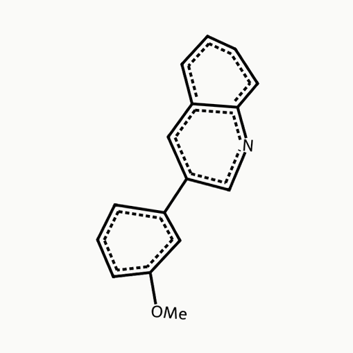 COc1cccc(-c2cnc3ccccc3c2)c1